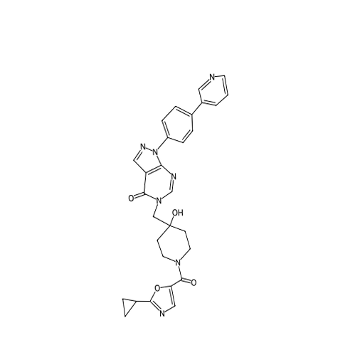 O=C(c1cnc(C2CC2)o1)N1CCC(O)(Cn2cnc3c(cnn3-c3ccc(-c4cccnc4)cc3)c2=O)CC1